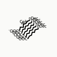 CCCCCCCCCCCCCCCCCC(=O)[O-].CCCCCCCCCCCCCCCCCC(=O)[O-].CCCCCCCCCCCCCCCCCC(=O)[O-].CCCCCCCCCCCCCCCCCC(=O)[O-].CCCCCCCCCCCCCCCCCC(=O)[O-].[Al+3].[Ca+2]